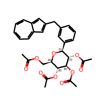 CC(=O)OC[C@H]1O[C@@H](c2cccc(Cc3cc4cccccc-4c3)c2)[C@H](OC(C)=O)[C@@H](OC(C)=O)[C@@H]1OC(C)=O